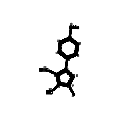 COc1ccc(-c2nn(C)c(O)c2C=O)cc1